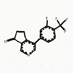 O=C1CCc2c1cncc2-c1ccc(C(F)(F)F)c(F)c1